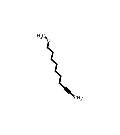 [CH2]C#CCCCCCCCOC